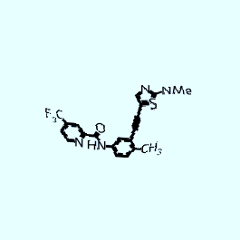 CNc1ncc(C#Cc2cc(NC(=O)c3cc(C(F)(F)F)ccn3)ccc2C)s1